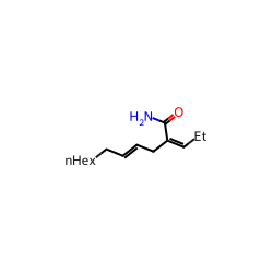 CCC=C(CC=CCCCCCCC)C(N)=O